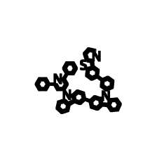 c1ccc(-c2cc(-n3c4ccccc4c4cc(-c5ccc6c7ccccc7n(-c7cccc(-c8ccc9sc%10cccnc%10c9c8)c7)c6c5)ccc43)cc(-c3ccccc3)n2)cc1